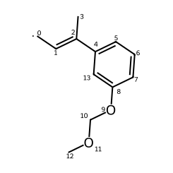 [CH2]C=C(C)c1cccc(OCOC)c1